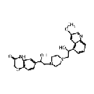 COc1cnc2cccc(C(O)CN3CCN(CC(O)c4ccc5c(c4)NC(=O)CO5)CC3)c2c1